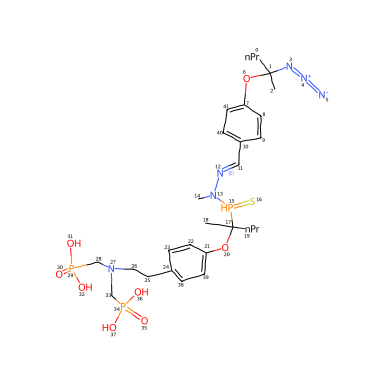 CCCC(C)(N=[N+]=[N-])Oc1ccc(/C=N/N(C)[PH](=S)C(C)(CCC)Oc2ccc(CCN(CP(=O)(O)O)CP(=O)(O)O)cc2)cc1